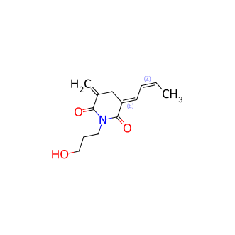 C=C1C/C(=C\C=C/C)C(=O)N(CCCO)C1=O